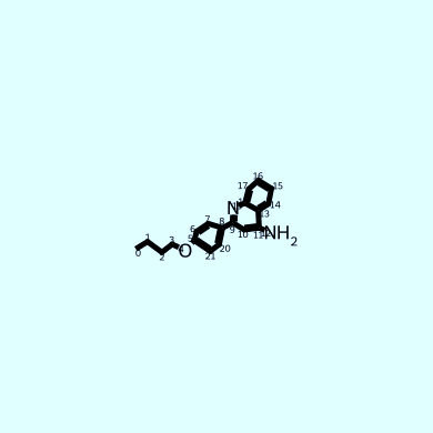 CCCCOc1ccc(-c2cc(N)c3ccccc3n2)cc1